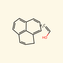 C1=Cc2cccc3cccc(c23)C1.C=CO